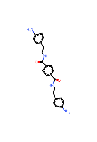 Nc1ccc(CCNC(=O)c2ccc(C(=O)NCCc3ccc(N)cc3)cc2)cc1